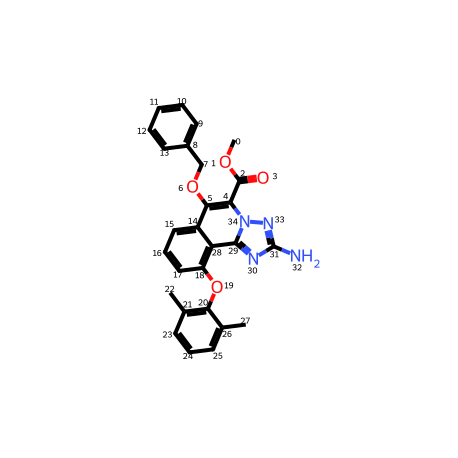 COC(=O)c1c(OCc2ccccc2)c2cccc(Oc3c(C)cccc3C)c2c2nc(N)nn12